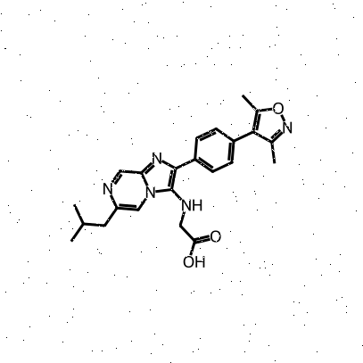 Cc1noc(C)c1-c1ccc(-c2nc3cnc(CC(C)C)cn3c2NCC(=O)O)cc1